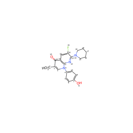 O=C(O)c1cn(-c2ccc(O)cc2)c2nc(N3CCCCC3)c(F)cc2c1=O